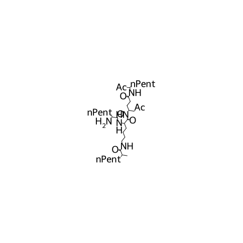 CCCCCC(C)C(=O)NCCCCC(NC(=O)C(N)CCCCC)C(=O)NC(CCC(=O)NC(CCCCC)C(C)=O)CC(C)=O